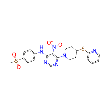 CS(=O)(=O)c1ccc(Nc2ncnc(N3CCC(Sc4ccccn4)CC3)c2[N+](=O)[O-])cc1